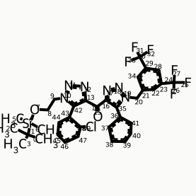 CC(C)(C)[Si](C)(C)OCCn1nnc(C(=O)c2nnn(Cc3cc(C(F)(F)F)cc(C(F)(F)F)c3)c2-c2ccccc2)c1-c1ccccc1Cl